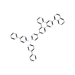 c1ccc(-c2ccc(N(c3ccc(-c4ccccc4)cc3)c3ccc(-c4ccc5c6ccc(-c7cccc8ccccc78)cc6c6ccccc6c5c4)cc3)cc2)cc1